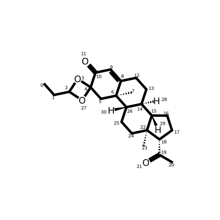 CCC1OC2(C[C@@]3(C)C(=CC2=O)CC[C@H]2[C@@H]4CC[C@H](C(C)=O)[C@@]4(C)CC[C@@H]23)O1